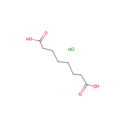 Cl.O=C(O)CCCCCCC(=O)O